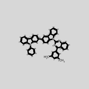 Cc1cc(C)cc(-c2nc(-n3c4ccccc4c4cc(-c5ccc6c7ccccc7n(-c7ccccc7)c6c5)ccc43)nc3ccccc23)c1